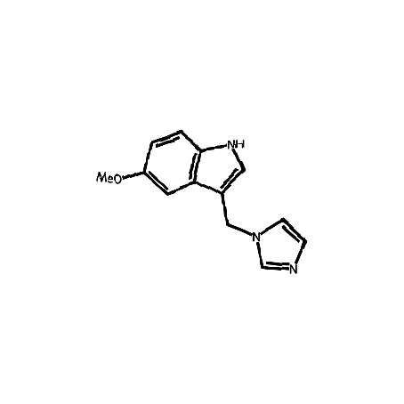 COc1ccc2[nH]cc(Cn3ccnc3)c2c1